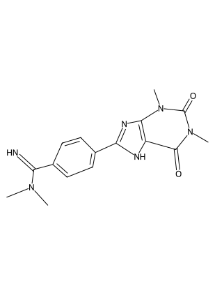 CN(C)C(=N)c1ccc(-c2nc3c([nH]2)c(=O)n(C)c(=O)n3C)cc1